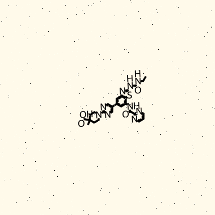 CCNC(=O)Nc1nc2cc(-c3cnc(N4CCC(C)(C(=O)O)CC4)nc3)cc(NC(=O)c3ncccn3)c2s1